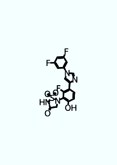 O=C1CN(c2c(O)ccc(-c3cn(-c4cc(F)cc(F)c4)cn3)c2F)S(=O)(=O)N1